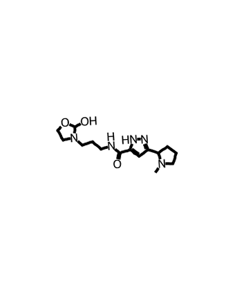 CN1CCCC1c1cc(C(=O)NCCCN2CCOC2O)[nH]n1